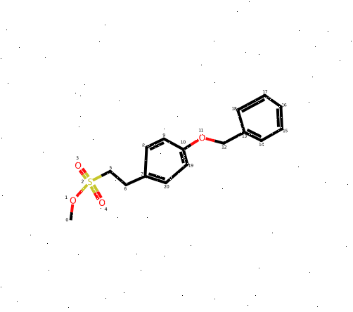 COS(=O)(=O)CCc1ccc(OCc2ccccc2)cc1